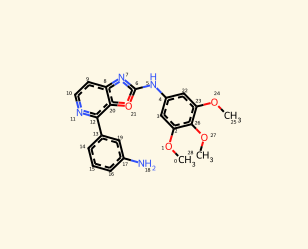 COc1cc(Nc2nc3ccnc(-c4cccc(N)c4)c3o2)cc(OC)c1OC